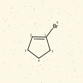 BrC1=[C]CCC1